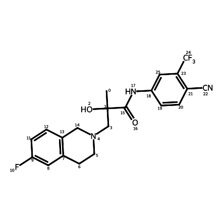 CC(O)(CN1CCc2cc(F)ccc2C1)C(=O)Nc1ccc(C#N)c(C(F)(F)F)c1